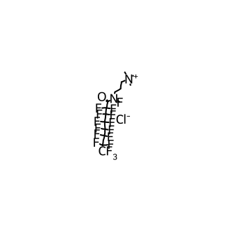 C[N+](C)(C)CCCN(F)C(=O)C(F)(F)C(F)(F)C(F)(F)C(F)(F)C(F)(F)C(F)(F)C(F)(F)F.[Cl-]